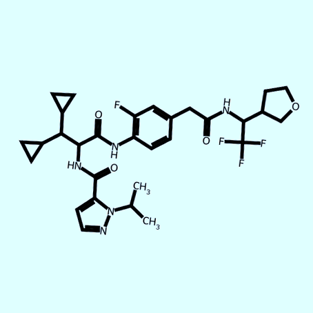 CC(C)n1nccc1C(=O)NC(C(=O)Nc1ccc(CC(=O)NC(C2CCOC2)C(F)(F)F)cc1F)C(C1CC1)C1CC1